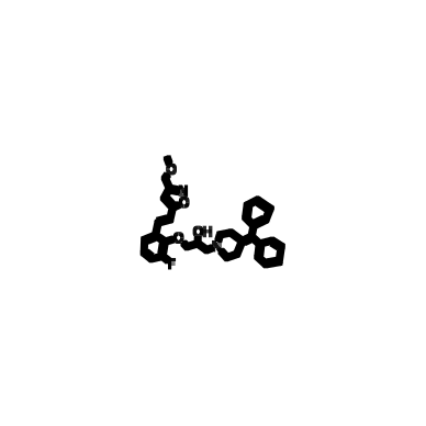 COCc1cc(C=Cc2cccc(F)c2OCC(O)CN2CCC(=C(c3ccccc3)c3ccccc3)CC2)on1